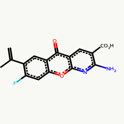 C=C(C)c1cc2c(=O)c3cc(C(=O)O)c(N)nc3oc2cc1F